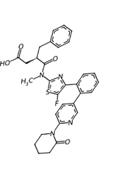 CN(C(=O)[C@@H](CC(=O)O)Cc1ccccc1)c1nc(-c2ccccc2-c2ccc(N3CCCCC3=O)nc2)c(F)s1